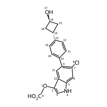 O=C(O)Oc1c[nH]c2cc(Cl)c(-c3ccc([C@H]4C[C@H](O)C4)cc3)cc12